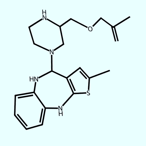 C=C(C)COCC1CN(C2Nc3ccccc3Nc3sc(C)cc32)CCN1